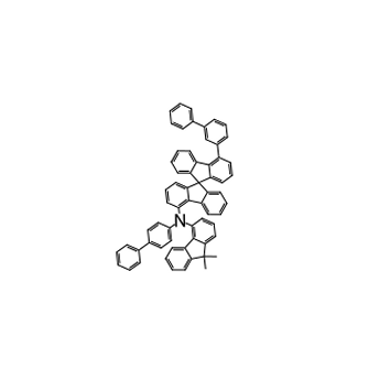 CC1(C)c2ccccc2-c2c(N(c3ccc(-c4ccccc4)cc3)c3cccc4c3-c3ccccc3C43c4ccccc4-c4c(-c5cccc(-c6ccccc6)c5)cccc43)cccc21